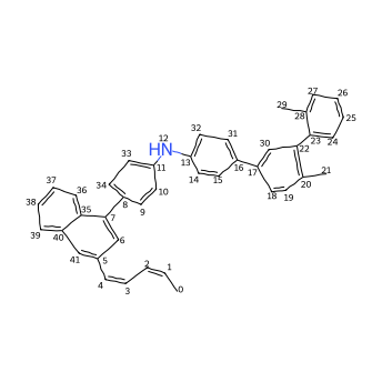 C/C=C\C=C/c1cc(-c2ccc(Nc3ccc(-c4ccc(C)c(-c5ccccc5C)c4)cc3)cc2)c2ccccc2c1